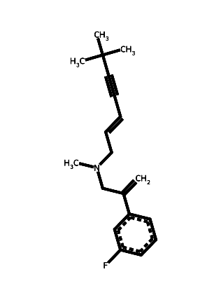 C=C(CN(C)C/C=C/C#CC(C)(C)C)c1cccc(F)c1